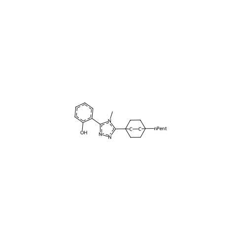 CCCCCC12CCC(c3nnc(-c4ccccc4O)n3C)(CC1)CC2